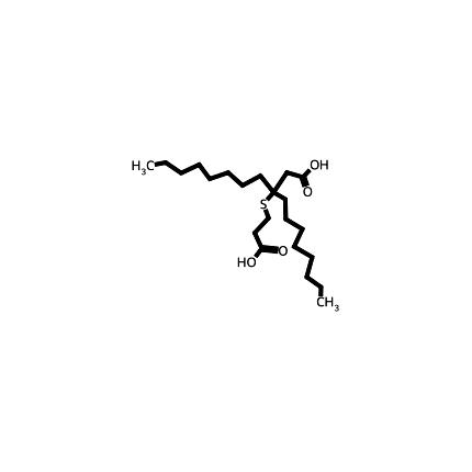 CCCCCCCCC(CCCCCCCC)(CC(=O)O)SCCC(=O)O